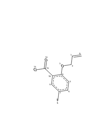 C=CCOc1ccc(F)cc1C(=O)Cl